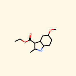 CCOC(=O)C1C(C)NC2CCC(OC)CC21